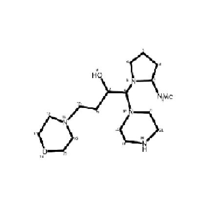 CNC1CCCN1C(C(O)CCN1CCOCC1)N1CCNCC1